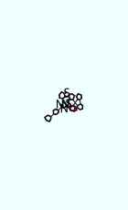 c1ccc(-c2ccc(-c3nc(-c4ccccc4)nc(-c4cccc5sc6ccc7c(c6c45)Sc4ccccc4C74c5ccccc5-c5ccccc54)n3)cc2)cc1